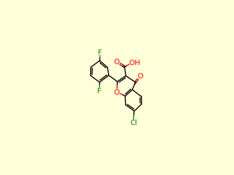 O=C(O)c1c(-c2cc(F)ccc2F)oc2cc(Cl)ccc2c1=O